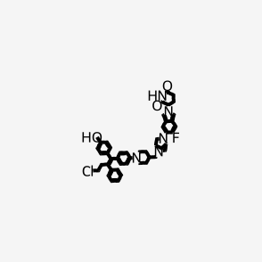 O=C1CCC(n2cc3cc(F)c(N4CC5CC4CN5CC4CCN(c5ccc(C(=C(CCCl)c6ccccc6)c6ccc(O)cc6)cc5)CC4)cc3c2)C(=O)N1